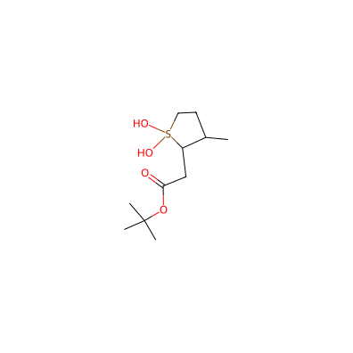 CC1CCS(O)(O)C1CC(=O)OC(C)(C)C